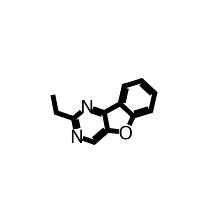 CCc1ncc2oc3ccccc3c2n1